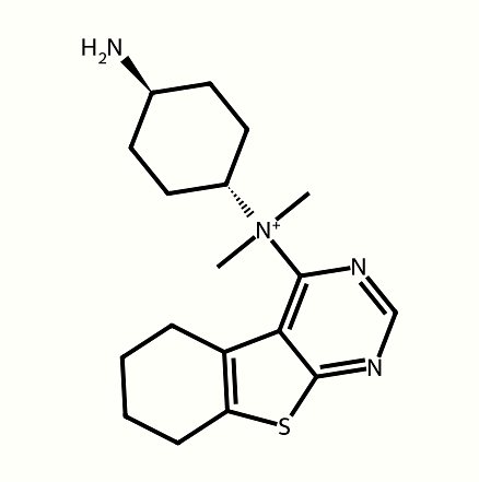 C[N+](C)(c1ncnc2sc3c(c12)CCCC3)[C@H]1CC[C@H](N)CC1